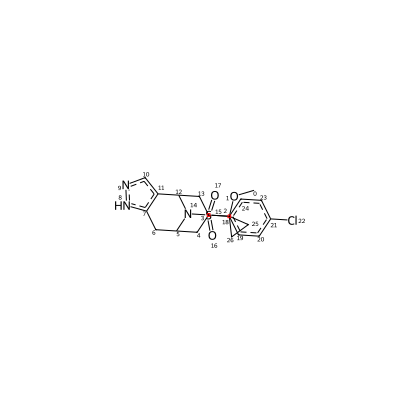 COC1(C2CC3Cc4[nH]ncc4C(C2)N3S(=O)(=O)c2ccc(Cl)cc2)CC1